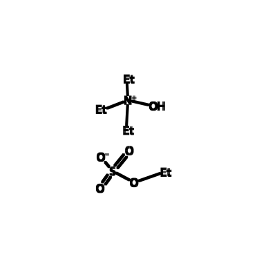 CCOS(=O)(=O)[O-].CC[N+](O)(CC)CC